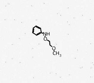 COCCONc1ccccc1